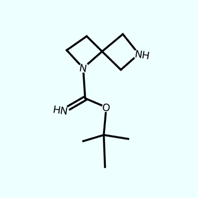 CC(C)(C)OC(=N)N1CCC12CNC2